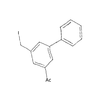 CC(=O)c1cc(CI)cc(-c2ccccc2)c1